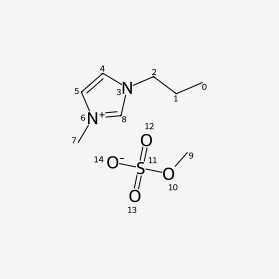 CCCn1cc[n+](C)c1.COS(=O)(=O)[O-]